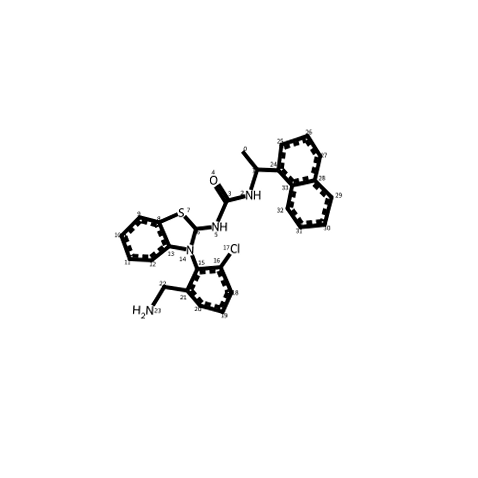 CC(NC(=O)NC1Sc2ccccc2N1c1c(Cl)cccc1CN)c1cccc2ccccc12